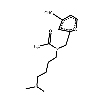 CN(C)CCCCN(Cc1cc(C=O)ccn1)C(=O)C(F)(F)F